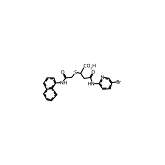 O=C(CC(SCC(=O)Nc1cccc2ccccc12)C(=O)O)Nc1ccc(Br)cn1